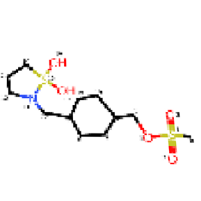 CS(=O)(=O)OCC1CCC(CN2CCCS2(O)O)CC1